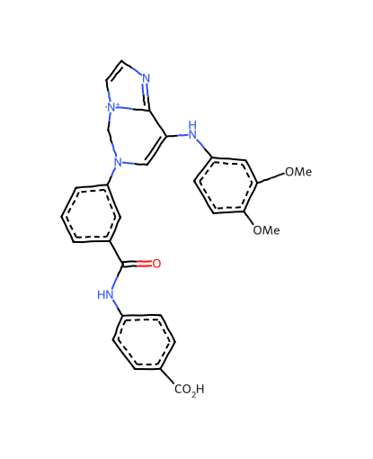 COc1ccc(NC2=CN(c3cccc(C(=O)Nc4ccc(C(=O)O)cc4)c3)C[N+]3C=CN=C23)cc1OC